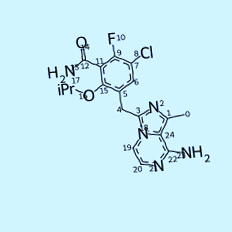 Cc1nc(Cc2cc(Cl)c(F)c(C(N)=O)c2OC(C)C)n2ccnc(N)c12